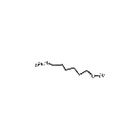 C[CH]OCCCCCCCCCCC